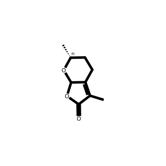 CC1=C2CC[C@@H](C)OC2OC1=O